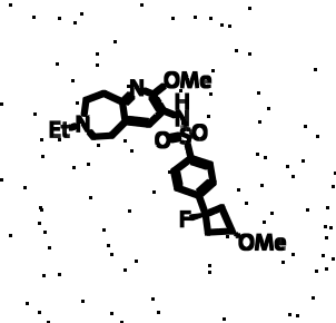 CCN1CCc2cc(NS(=O)(=O)c3ccc([C@]4(F)C[C@H](OC)C4)cc3)c(OC)nc2CC1